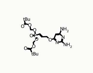 CC(C)(C)C(=O)OCOP(=O)(/C=C/COc1cc(N)nc(N)n1)OCOC(=O)C(C)(C)C